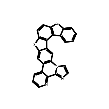 c1ccc2c(c1)sc1ccc3sc4cc5c6cccnc6c6nccn6c5cc4c3c12